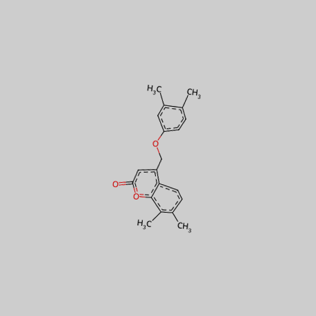 Cc1ccc(OCc2cc(=O)oc3c(C)c(C)ccc23)cc1C